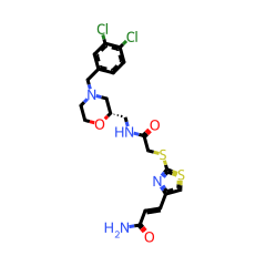 NC(=O)C=Cc1csc(SCC(=O)NC[C@H]2CN(Cc3ccc(Cl)c(Cl)c3)CCO2)n1